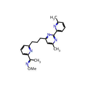 CO/N=C(\C)c1cccc(CCCc2cc(C)nc(-c3cccc(C)n3)n2)n1